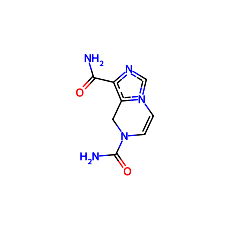 NC(=O)c1ncn2c1CN(C(N)=O)C=C2